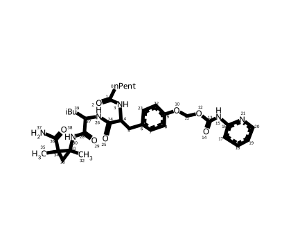 CCCCCC(=O)NC(Cc1ccc(OCOC(=O)Nc2ccccn2)cc1)C(=O)NC(C(=O)NC1(C)CC1(C)C(N)=O)C(C)CC